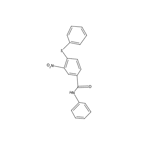 O=C(Nc1ccccc1)c1ccc(Sc2ccccc2)c([N+](=O)[O-])c1